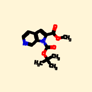 COC(=O)c1cc2ccncc2n1C(=O)OC(C)(C)C